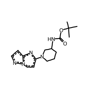 CC(C)(C)OC(=O)NC1CCCN(c2ccn3nccc3n2)C1